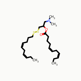 CC/C=C\C/C=C\CCCSSCC(CN(C)C)OC(=O)CCC/C=C\C/C=C\CC